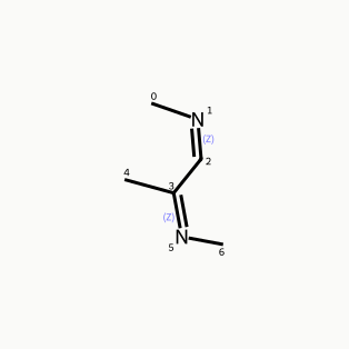 C/N=C\C(C)=N/C